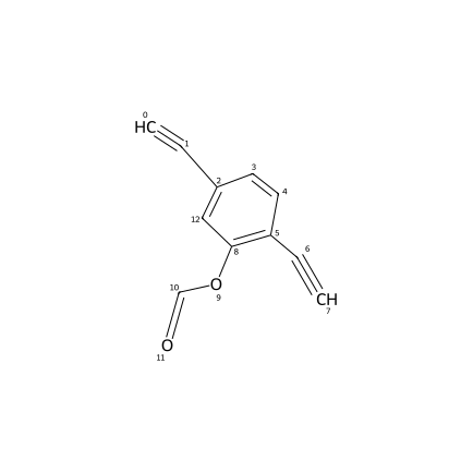 C#Cc1ccc(C#C)c(OC=O)c1